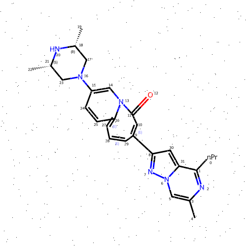 CCCc1nc(C)cn2nc(C3=C\C(=O)N4C=C(N5C[C@@H](C)N[C@@H](C)C5)C=C\C4=C/C=C/3)cc12